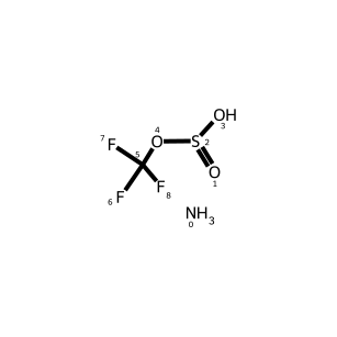 N.O=S(O)OC(F)(F)F